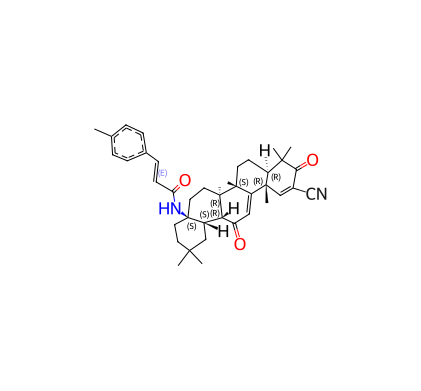 Cc1ccc(/C=C/C(=O)N[C@]23CCC(C)(C)C[C@H]2[C@H]2C(=O)C=C4[C@@]5(C)C=C(C#N)C(=O)C(C)(C)[C@@H]5CC[C@@]4(C)[C@]2(C)CC3)cc1